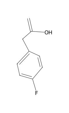 C=C(O)Cc1ccc(F)cc1